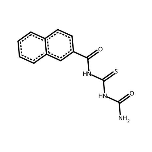 NC(=O)NC(=S)NC(=O)c1ccc2ccccc2c1